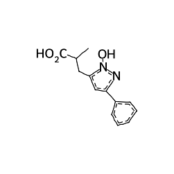 CC(Cc1cc(-c2ccccc2)nn1O)C(=O)O